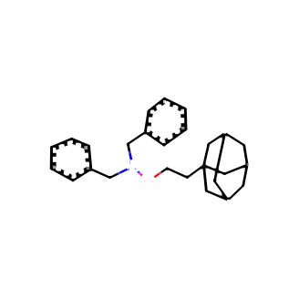 c1ccc(CN(Cc2ccccc2)OCCC23CC4CC(CC(C4)C2)C3)cc1